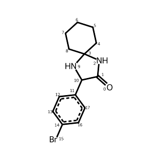 O=C1NC2(CCCCC2)NC1c1ccc(Br)cc1